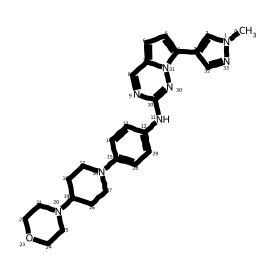 Cn1cc(-c2ccc3cnc(Nc4ccc(N5CCC(N6CCOCC6)CC5)cc4)nn23)cn1